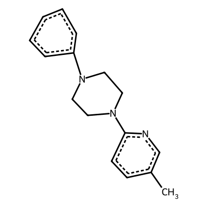 Cc1ccc(N2CCN(c3ccccc3)CC2)nc1